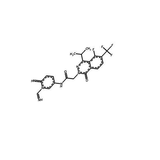 CC(C)c1nn(CC(=O)Nc2ccc(=N)n(C=N)c2)c(=O)c2ccc(C(F)(F)F)c(F)c12